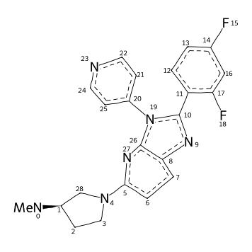 CN[C@@H]1CCN(c2ccc3nc(-c4ccc(F)cc4F)n(-c4ccncc4)c3n2)C1